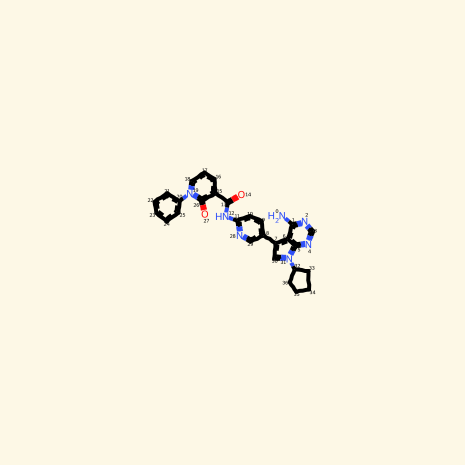 Nc1ncnc2c1c(-c1ccc(NC(=O)c3cccn(-c4ccccc4)c3=O)nc1)cn2C1CCCC1